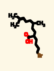 CC(C)=CCCC(C)CCC(CCCCBr)C(=O)O